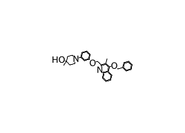 Cc1c(COc2cccc(N3CCC(C)(O)CC3)c2)nc2ccccc2c1OCc1ccccc1